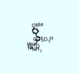 COc1ccc(-c2ccc(C(=O)NC(=N)N)o2)cc1.CS(=O)(=O)O